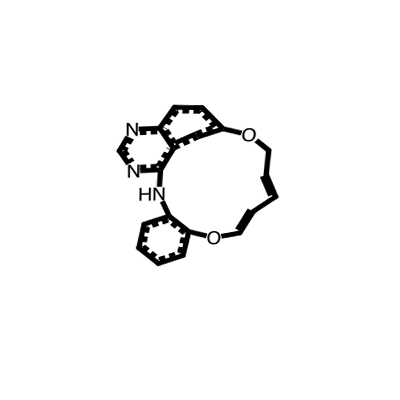 C1=C/COc2ccc3ncnc(c3c2)Nc2ccccc2O/C=C/1